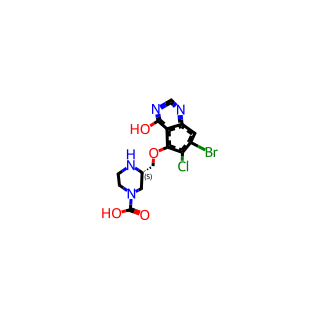 O=C(O)N1CCN[C@H](COc2c(Cl)c(Br)cc3ncnc(O)c23)C1